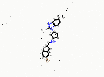 Cc1ccc2c(c1)nc(C)n2[C@H]1CC[C@H](NCC2Cc3ccc(Br)cc3C2)C1